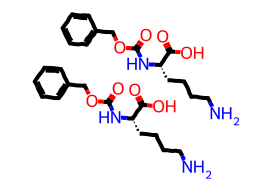 NCCCC[C@H](NC(=O)OCc1ccccc1)C(=O)O.NCCCC[C@H](NC(=O)OCc1ccccc1)C(=O)O